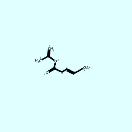 C=C(C)OC(=O)CC=COC(C)=O